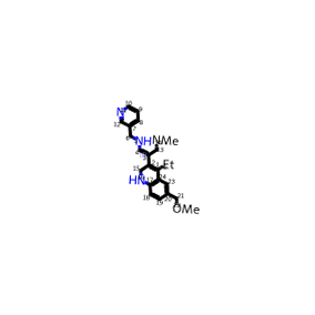 CCC1=C(/C(=C/NCc2cccnc2)CNC)CNc2ccc(COC)cc21